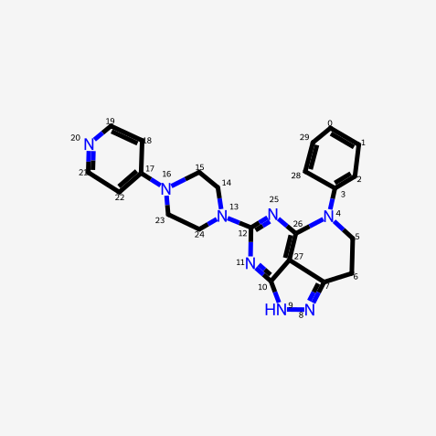 c1ccc(N2CCc3n[nH]c4nc(N5CCN(c6ccncc6)CC5)nc2c34)cc1